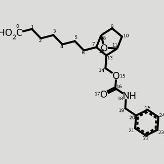 O=C(O)CCCCCCC1C2CCC(O2)C1COC(=O)NCc1ccccc1